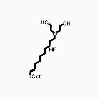 CCCCCCCCC=CCCCCCCCCN(CCO)CCO.F